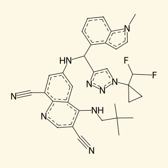 Cn1ccc2c(C(Nc3cc(C#N)c4ncc(C#N)c(NCC(C)(C)C)c4c3)c3cn(C4(C(F)F)CC4)nn3)cccc21